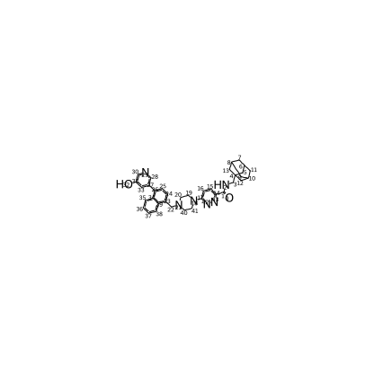 O=C(NCC12CC3CC(CC(C3)C1)C2)c1ccc(N2CCN(Cc3ccc(-c4cncc(O)c4)c4ccccc34)CC2)nn1